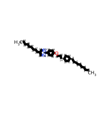 CCCCCCCCCC[C@H]1CC[C@H](CCCOc2ccc(-c3ncc(CCCCCCCCC)cn3)cc2)CC1